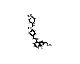 CCc1cc2c(NCc3ccc(NCC4CCN(C)CC4)nc3)ccnc2[nH]1